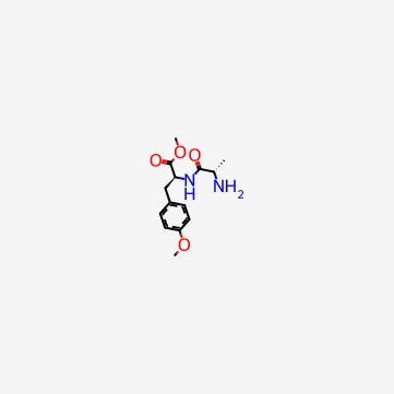 COC(=O)[C@H](Cc1ccc(OC)cc1)NC(=O)[C@H](C)N